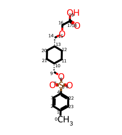 Cc1ccc(S(=O)(=O)OC[C@H]2CC[C@@H](COCC(=O)O)CC2)cc1